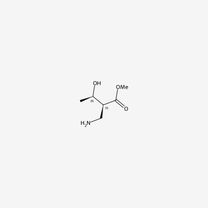 COC(=O)[C@@H](CN)[C@@H](C)O